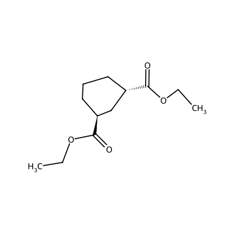 CCOC(=O)[C@H]1CCC[C@H](C(=O)OCC)C1